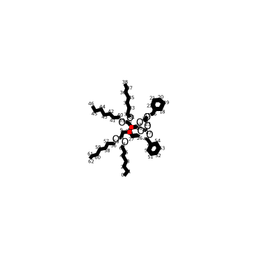 CCCCCCCOC(CCC=COC(OCc1ccccc1)OC(OC=CCCC(OCCCCCCC)OCCCCCCC)OCc1ccccc1)OCCCCCCC